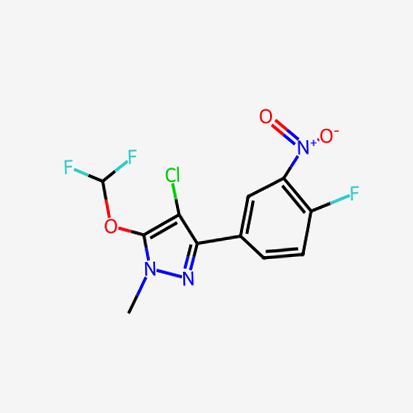 Cn1nc(-c2ccc(F)c([N+](=O)[O-])c2)c(Cl)c1OC(F)F